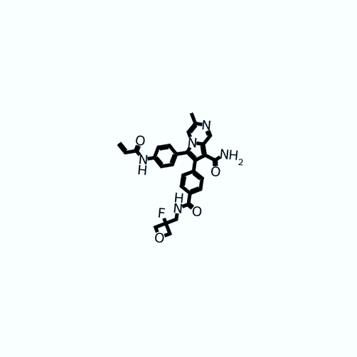 C=CC(=O)Nc1ccc(-c2c(-c3ccc(C(=O)NCC4(F)COC4)cc3)c(C(N)=O)c3cnc(C)cn23)cc1